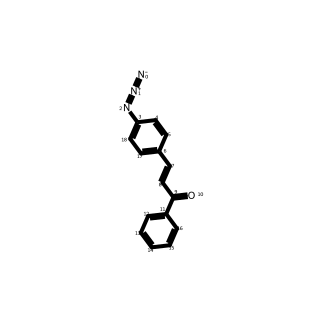 [N-]=[N+]=Nc1ccc(C=CC(=O)c2ccccc2)cc1